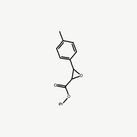 Cc1ccc(C2OC2C(=O)OC(C)C)cc1